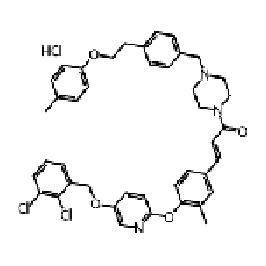 Cc1ccc(OCCc2ccc(CN3CCN(C(=O)C=Cc4ccc(Oc5ccc(OCc6cccc(Cl)c6Cl)cn5)c(C)c4)CC3)cc2)cc1.Cl